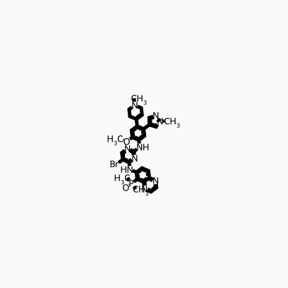 COc1cc(C2=CCN(C)CC2)c(-c2cnn(C)c2)cc1Nc1ncc(Br)c(Nc2ccc3nccnc3c2P(C)(C)=O)n1